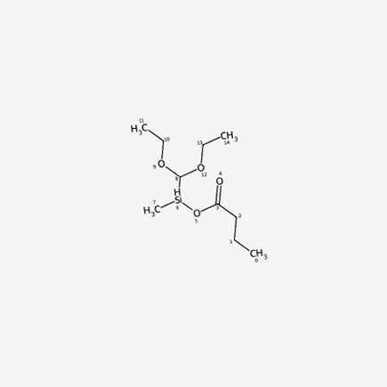 CCCC(=O)O[SiH](C)C(OCC)OCC